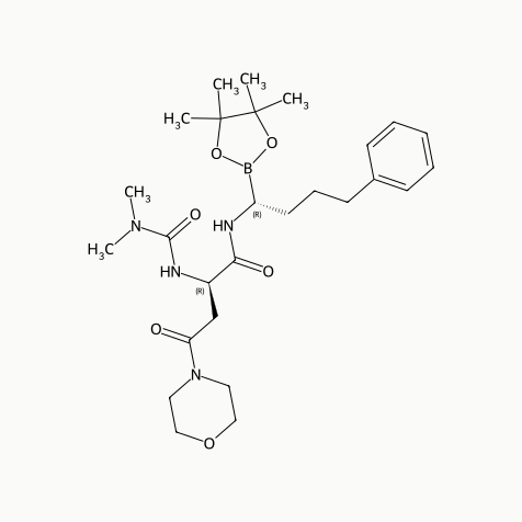 CN(C)C(=O)N[C@H](CC(=O)N1CCOCC1)C(=O)N[C@@H](CCCc1ccccc1)B1OC(C)(C)C(C)(C)O1